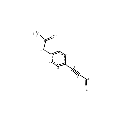 CC(=O)Sc1ccc(C#CC=O)cc1